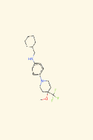 COC1(C(F)(F)F)CCN(c2ccc(NCC3CCCCC3)cc2)CC1